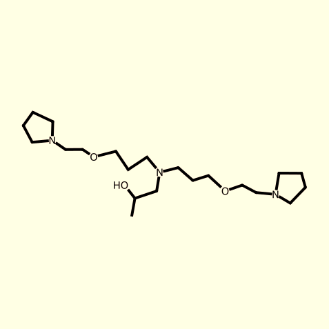 CC(O)CN(CCCOCCN1CCCC1)CCCOCCN1CCCC1